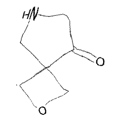 O=C1CNCC12[CH]OC2